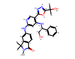 CCN1C(=O)c2ccc(Nc3cc(N[C@H](CO)c4ccccc4)c(-c4nnc(C(C)(C)O)o4)cn3)cc2C1(C)C